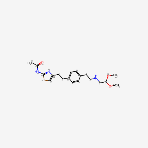 COC(CNCCc1ccc(CCc2csc(NC(C)=O)n2)cc1)OC